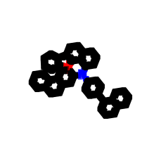 c1ccc2c(-c3ccc(N(c4ccc5c(ccc6ccccc65)c4)c4cccc5ccc6c7ccccc7oc6c45)cc3)cccc2c1